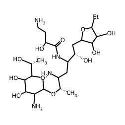 CCC1OC(C[C@H](O)C(CC(N)[C@H](C)OC2OC([C@@H](C)O)C(O)C(O)C2N)NC(=O)C(O)CCN)C(O)C1O